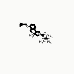 CC(C)(C)OC(=O)N1CC2c3cccc(OCC4CC4)c3COC2(C)C1